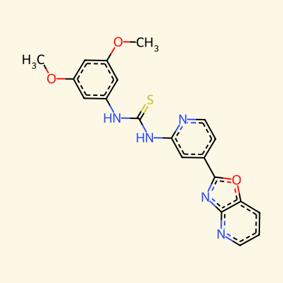 COc1cc(NC(=S)Nc2cc(-c3nc4ncccc4o3)ccn2)cc(OC)c1